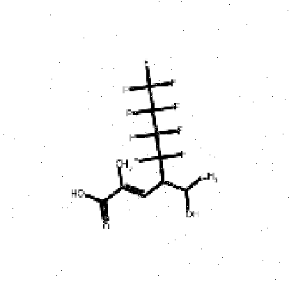 CC(=CC(C(C)O)C(F)(F)C(F)(F)C(F)(F)C(F)(F)F)C(=O)O